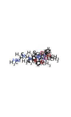 CNCCCN(C)CCCN(C)c1ccc(-n2nc(C(=O)NC3(C(=O)OC(C)(C)C)C4CC5CC(C4)CC3C5)cc2-c2c(OC)cccc2OC)c(C(C)C)c1